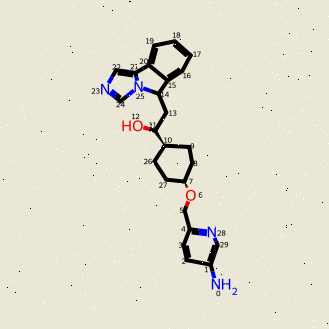 Nc1ccc(CO[C@H]2CC[C@H](C(O)CC3c4ccccc4-c4cncn43)CC2)nc1